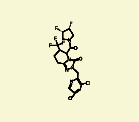 O=C(C1C(C(F)(F)F)CCc2nn(Cc3ncc(Cl)cc3Cl)c(=O)n21)N1C[C@@H](F)[C@@H](F)C1